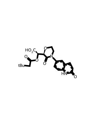 CC(C)(C)CC(=O)O[C@@H](C(=O)O)[C@H]1OCCN(c2ccc3[nH]c(=O)ccc3c2)C1=O